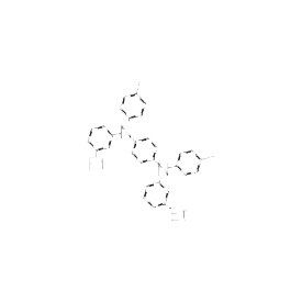 CCc1cccc(N(c2ccc(C)cc2)c2ccc(N(c3ccc(C)cc3)c3cccc(CC)c3)cc2)c1